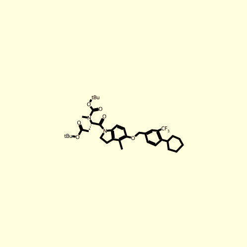 Cc1c(OCc2ccc(C3CCCCC3)c(C(F)(F)F)c2)ccc2c1CCN2C(=O)[C@H](CC(=O)OC(C)(C)C)N(C)C(=O)OC(C)(C)C